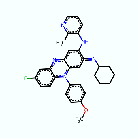 Cc1ncccc1Nc1cc2nc3cc(F)ccc3n(-c3ccc(OC(F)(F)F)cc3)c-2c/c1=N\C1CCCCC1